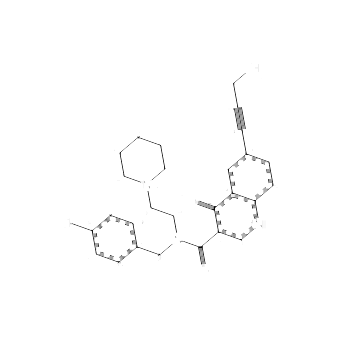 O=C(c1c[nH]c2ccc(C#CCO)cc2c1=O)N(CCN1CCCCC1)Cc1ccc(Cl)cc1